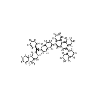 CC1(C)c2ccccc2-c2cc(N(c3ccccc3)c3ccc4cc(-c5cc6cc(-c7cccc8ccccc78)c7ccccc7c6c6ccccc56)ccc4c3)ccc21